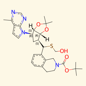 Cc1ncnc2c1ccn2[C@@H]1C[C@H](C(SCO)c2cccc3c2CN(C(=O)OC(C)(C)C)CC3)[C@H]2OC(C)(C)O[C@H]21